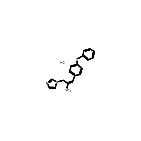 CC(=Cc1ccc(Oc2ccccc2)cc1)Cn1ccnc1.Cl